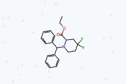 CCOC(=O)C1CC(F)(F)CCN1C(c1ccccc1)c1ccccc1